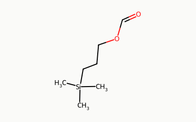 C[Si](C)(C)CCCOC=O